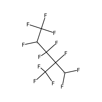 F[C](C(F)(F)F)C(F)(F)C(F)([C](F)F)C(F)(F)F